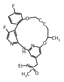 CCN=S(C)(=O)Cc1cc2nc(c1)OC(C)CCCCOc1cc(F)ccc1-c1cc(ncc1F)N2